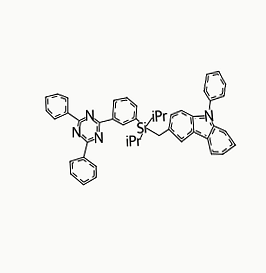 CC(C)[Si](Cc1ccc2c(c1)c1ccccc1n2-c1ccccc1)(c1cccc(-c2nc(-c3ccccc3)nc(-c3ccccc3)n2)c1)C(C)C